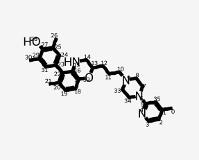 Cc1ccnc(N2CCN(CCCC3CNc4c(ccc(C)c4-c4cc(C)c(O)c(C)c4)O3)CC2)c1